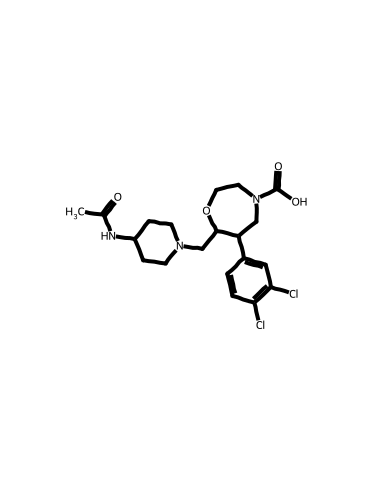 CC(=O)NC1CCN(CC2OCCN(C(=O)O)CC2c2ccc(Cl)c(Cl)c2)CC1